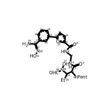 CCCCCC(C(=O)NCNC(=O)c1ccc(-c2cccc(/C(N)=N/O)c2)o1)C(CC)N(O)C=O